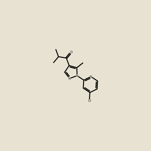 Cc1c(C(=O)C(C)C)cnn1-c1cc(Cl)ccn1